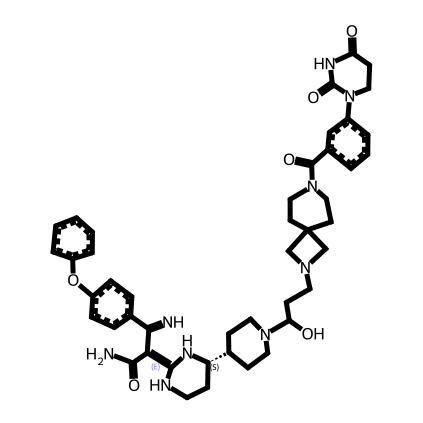 N=C(/C(C(N)=O)=C1/NCC[C@@H](C2CCN(C(O)CCN3CC4(CCN(C(=O)c5cccc(N6CCC(=O)NC6=O)c5)CC4)C3)CC2)N1)c1ccc(Oc2ccccc2)cc1